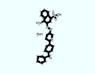 Nc1c(/N=N/c2ccc(-c3ccc(C(=O)c4ccccc4)cc3)nc2)cc(S(=O)(=O)O)c2ccccc12.[NaH]